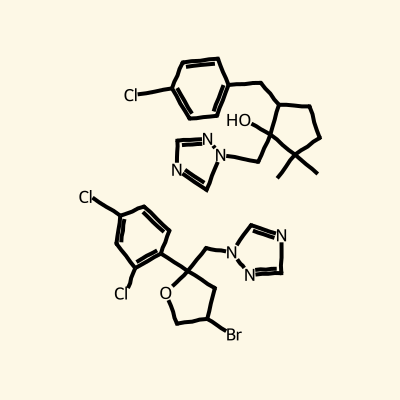 CC1(C)CCC(Cc2ccc(Cl)cc2)C1(O)Cn1cncn1.Clc1ccc(C2(Cn3cncn3)CC(Br)CO2)c(Cl)c1